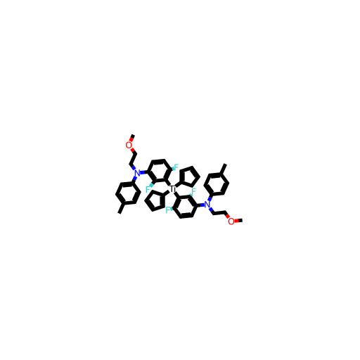 COCCN(c1ccc(C)cc1)c1ccc(F)[c]([Ti]([C]2=CC=CC2)([C]2=CC=CC2)[c]2c(F)ccc(N(CCOC)c3ccc(C)cc3)c2F)c1F